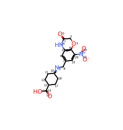 O=C1COc2c(cc(CN=C3CCC(C(=O)O)CC3)cc2[N+](=O)[O-])N1